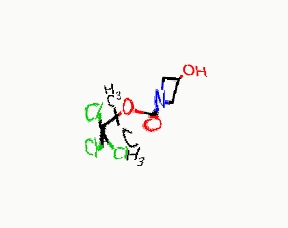 CC(C)(OC(=O)N1CC(O)C1)C(Cl)(Cl)Cl